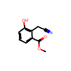 COC(=O)c1cccc(O)c1CC#N